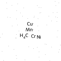 C.[Cr].[Cu].[Mn].[Ni]